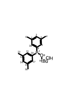 Cc1cc(C)cc(P(OC(C)(C)C)c2cc(C)cc(C)c2)c1.Cl